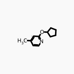 Cc1[c]c(OC2CCCC2)ncc1